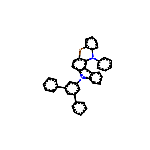 c1ccc(-c2cc(-c3ccccc3)cc(-n3c4ccccc4c4c5c(ccc43)Sc3ccccc3N5c3ccccc3)c2)cc1